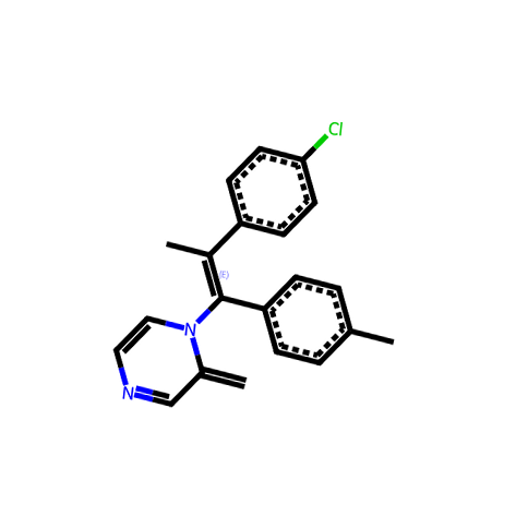 C=C1C=NC=CN1/C(=C(\C)c1ccc(Cl)cc1)c1ccc(C)cc1